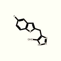 O=Cc1[nH]nnc1Cc1cc2cc(F)ccc2s1